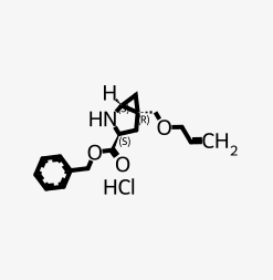 C=CCOC[C@]12C[C@@H](C(=O)OCc3ccccc3)N[C@H]1C2.Cl